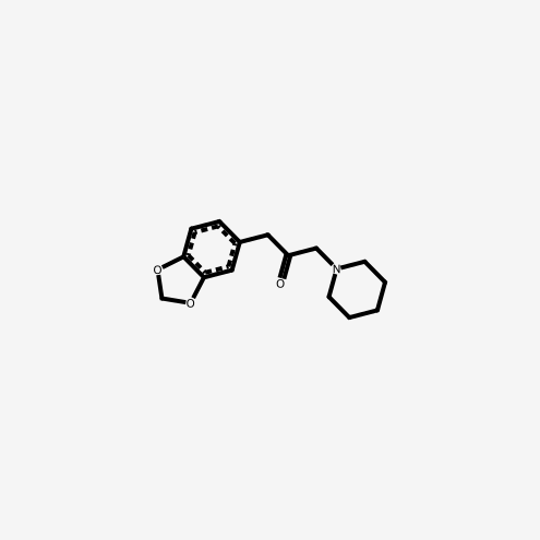 O=C(Cc1ccc2c(c1)OCO2)CN1CCCCC1